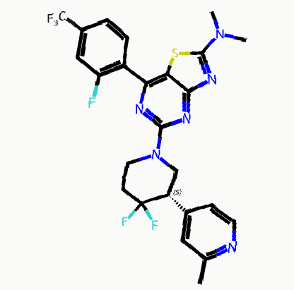 Cc1cc([C@H]2CN(c3nc(-c4ccc(C(F)(F)F)cc4F)c4sc(N(C)C)nc4n3)CCC2(F)F)ccn1